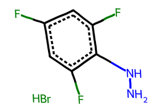 Br.NNc1c(F)cc(F)cc1F